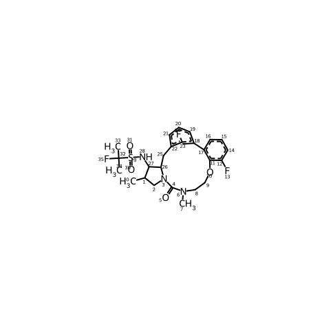 CC1CN2C(=O)N(C)CCOc3c(F)cccc3-c3cccc(c3F)CC2C1NS(=O)(=O)C(C)(C)F